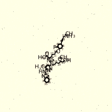 CNCC#Cc1ccc(OCCCc2sc(N(CCCC(CO)OC)c3cc(C)c(Nc4nc5ccccc5s4)nn3)nc2C(=O)O)c(F)c1